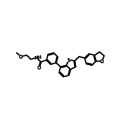 COCCNC(=O)c1cccc(-c2cccc3cc(Cc4ccc5c(c4)CCO5)sc23)c1